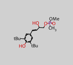 COP(C)(=O)OCC(O)C=Cc1cc(C(C)(C)C)c(O)c(C(C)(C)C)c1